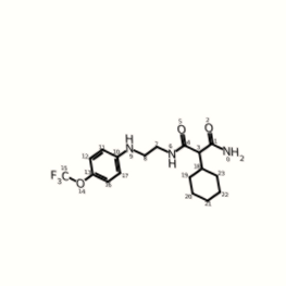 NC(=O)C(C(=O)NCCNc1ccc(OC(F)(F)F)cc1)C1CCCCC1